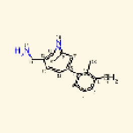 Bc1cccc(C2=C/C(C)=N/C=C(CN)/C=C\2)c1C